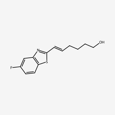 OCCCCC=Cc1nc2cc(F)ccc2s1